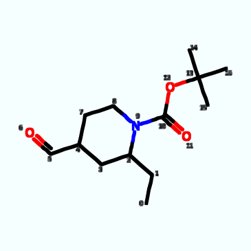 CCC1CC(C=O)CCN1C(=O)OC(C)(C)C